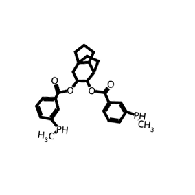 CPc1cccc(C(=O)OC2CC34CCCC3C(CC4)C2OC(=O)c2cccc(PC)c2)c1